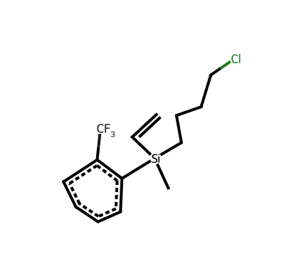 C=C[Si](C)(CCCCCl)c1ccccc1C(F)(F)F